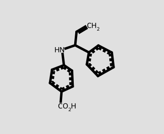 C=CC(Nc1ccc(C(=O)O)cc1)c1ccccc1